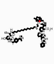 Cc1ncsc1-c1ccc([C@H](C)NC(=O)[C@@H]2C[C@@H](O)CN2C(=O)[C@@H](NC(=O)CCCCCCCCCCCCCN(C)CCOC23CC4(C)CC(C)(CC(Cn5ncc(-c6ccc(N7CCCc8c7nnc(Nc7nc9ccccc9s7)c8C)nc6C(=O)O)c5C)(C4)C2)C3)C(C)(C)C)cc1